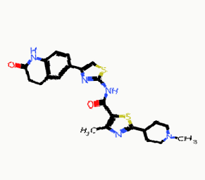 Cc1nc(C2CCN(C)CC2)sc1C(=O)Nc1nc(-c2ccc3c(c2)CCC(=O)N3)cs1